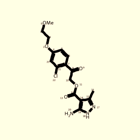 COCCOc1ccc(C(=O)COC(=O)c2c(C)n[nH]c2N)c(Cl)c1